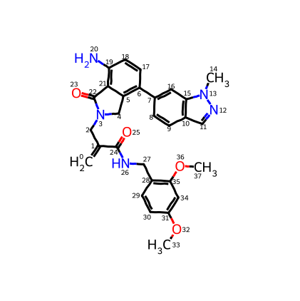 C=C(CN1Cc2c(-c3ccc4cnn(C)c4c3)ccc(N)c2C1=O)C(=O)NCc1ccc(OC)cc1OC